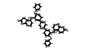 Cc1ccc2c(Nc3cc(-c4cnc(-c5ccc(Sc6ccccc6)c(Nc6ccnc7nc(C)ccc67)c5)cn4)ccc3Sc3ccccc3)ccnc2n1